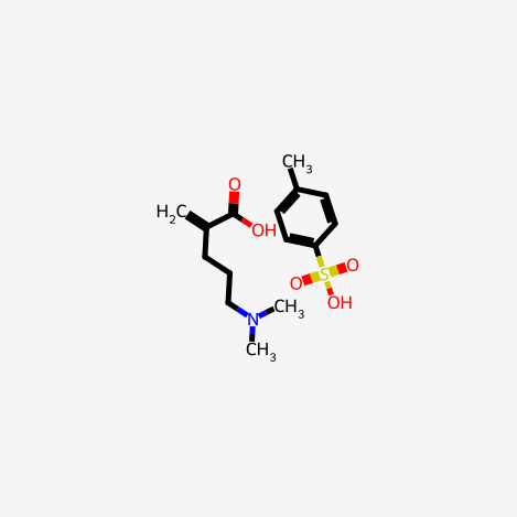 C=C(CCCN(C)C)C(=O)O.Cc1ccc(S(=O)(=O)O)cc1